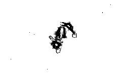 Cc1ccc(CCl)cc1CN1CCN(c2nc3ccc(Cl)cc3s2)CC1